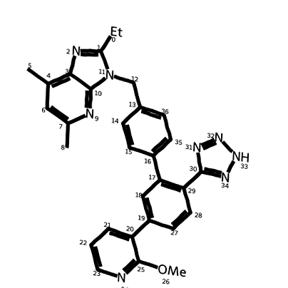 CCc1nc2c(C)cc(C)nc2n1Cc1ccc(-c2cc(-c3cccnc3OC)ccc2-c2nn[nH]n2)cc1